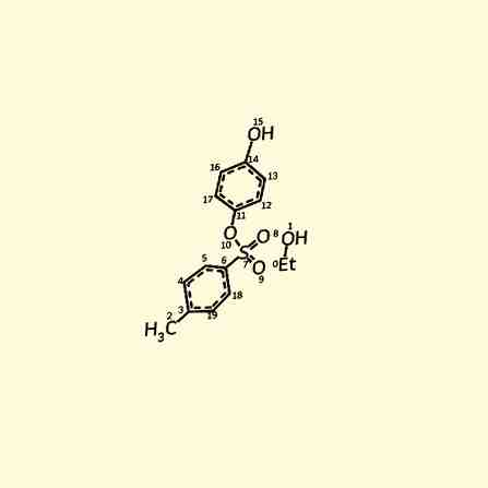 CCO.Cc1ccc(S(=O)(=O)Oc2ccc(O)cc2)cc1